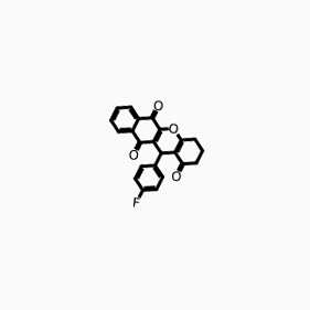 O=C1CCCC2=C1C(c1ccc(F)cc1)C1=C(O2)C(=O)c2ccccc2C1=O